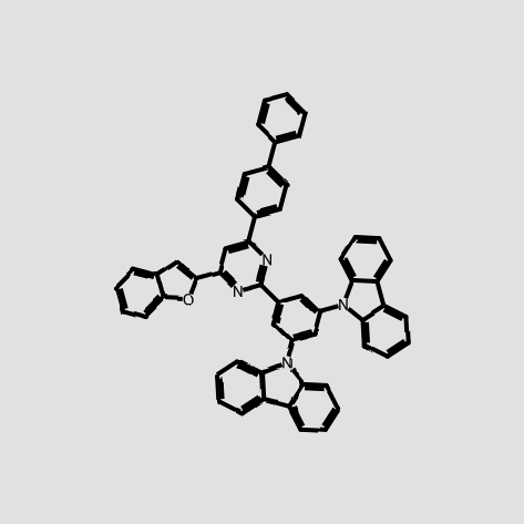 c1ccc(-c2ccc(-c3cc(-c4cc5ccccc5o4)nc(-c4cc(-n5c6ccccc6c6ccccc65)cc(-n5c6ccccc6c6ccccc65)c4)n3)cc2)cc1